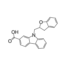 O=C(O)c1ccc2c3ccccc3n(CC3Cc4ccccc4O3)c2c1